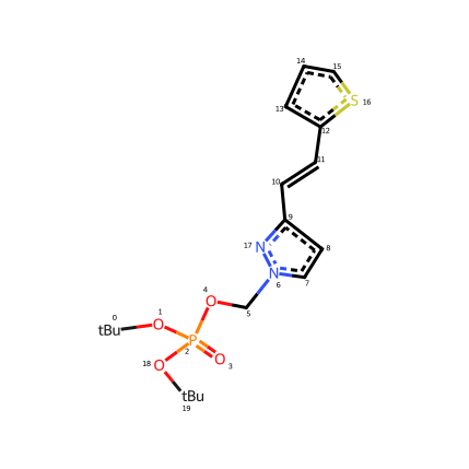 CC(C)(C)OP(=O)(OCn1ccc(C=Cc2cccs2)n1)OC(C)(C)C